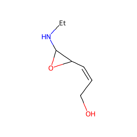 CCNC1OC1/C=C\CO